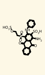 Nc1c2c(c(S(=O)(=O)CCOS(=O)(=O)O)c(Nc3ccccc3)c1S(=O)(=O)O)C(=O)c1ccccc1C2=O